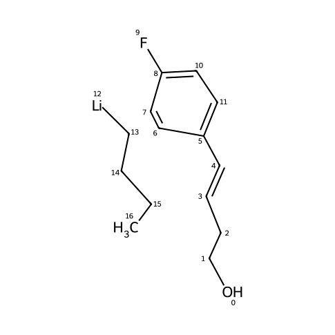 OCCC=Cc1ccc(F)cc1.[Li][CH2]CCC